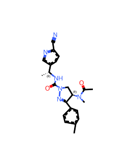 CC(=O)N(C)[C@@H]1CN(C(=O)N[C@H](C)c2ccc(C#N)nc2)N=C1c1ccc(C)cc1